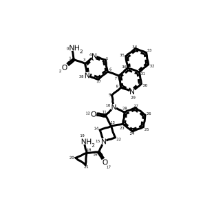 NC(=O)c1ncc(-c2c(CN3C(=O)C4(CN(C(=O)C5(N)CC5)C4)c4ccccc43)ncc3ccccc23)cn1